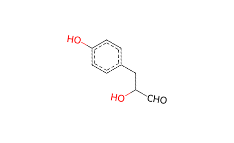 O=CC(O)Cc1ccc(O)cc1